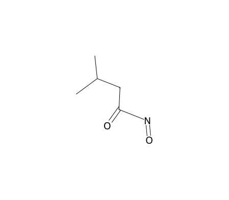 CC(C)CC(=O)N=O